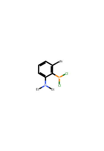 CCN(CC)c1cccc(C(C)C)c1P(Cl)Cl